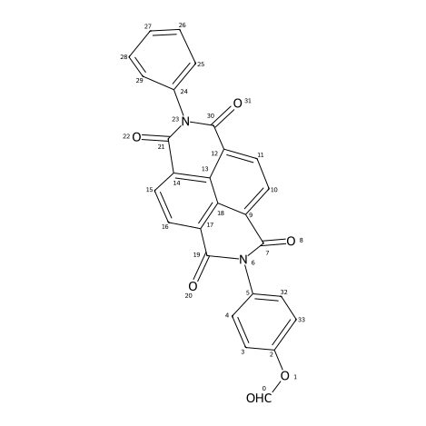 O=COc1ccc(N2C(=O)c3ccc4c5c(ccc(c35)C2=O)C(=O)N(c2ccccc2)C4=O)cc1